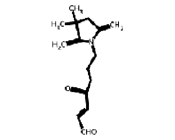 C=C1CC(C)(C)C(=C)N1CCCC(=O)/C=C/C=O